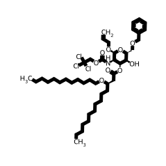 C=CCO[C@H]1O[C@H](COCc2ccccc2)[C@@H](O)[C@H](OC(=O)C[C@@H](CCCCCCCCCCC)OCCCCCCCCCCCC)[C@H]1NC(=O)OCC(Cl)(Cl)Cl